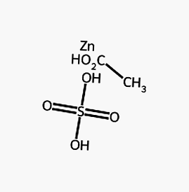 CC(=O)O.O=S(=O)(O)O.[Zn]